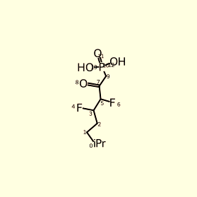 CC(C)CCC(F)C(F)C(=O)CP(=O)(O)O